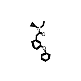 CCN(C(=O)Cc1cccc(Oc2ccccc2)c1)C1CC1